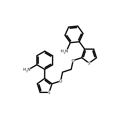 Nc1ccccc1-c1ccsc1OCCOc1sccc1-c1ccccc1N